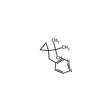 CC(C)(C)C1(Cc2ccnnc2)CC1